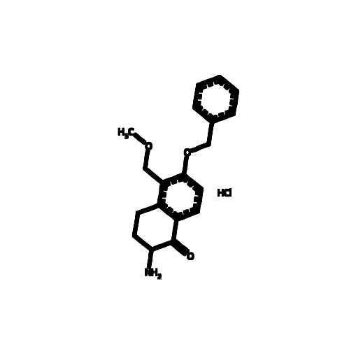 COCc1c(OCc2ccccc2)ccc2c1CCC(N)C2=O.Cl